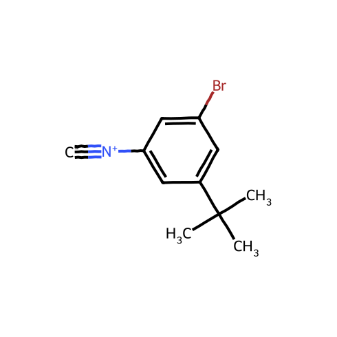 [C-]#[N+]c1cc(Br)cc(C(C)(C)C)c1